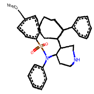 COc1ccc(S(=O)(=O)N(c2ccccc2)C2CCNCC2C2CCCCC2c2ccccc2)cc1